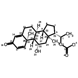 CC(OC(=O)Cl)[C@H]1CC[C@H]2[C@@H]3CCC4=CC(=O)C=C[C@]4(C)[C@H]3[C@@H](O)C[C@]12C